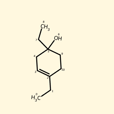 CCC1=CCC(O)(CC)CC1